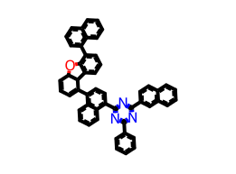 C1=CC2Oc3c(-c4cccc5ccccc45)cccc3C2C(c2ccc(-c3nc(-c4ccccc4)nc(-c4ccc5ccccc5c4)n3)c3ccccc23)=C1